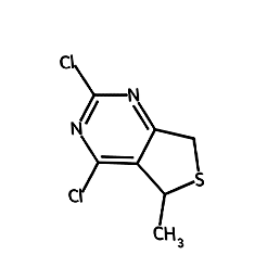 CC1SCc2nc(Cl)nc(Cl)c21